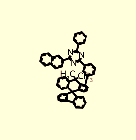 CC1(C)c2ccccc2C2(c3ccccc3-c3ccccc32)c2cccc(-c3cccc(-c4nc(-c5ccccc5)nc(-c5ccc6ccccc6c5)n4)c3)c21